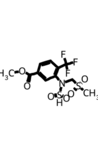 COC(=O)c1ccc(C(F)(F)F)c(N(CS(C)(=O)=O)[SH](=O)=O)c1